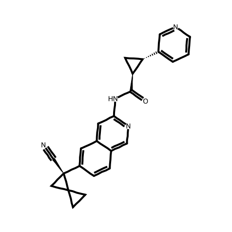 N#C[C@]1(c2ccc3cnc(NC(=O)[C@H]4C[C@@H]4c4cccnc4)cc3c2)CC12CC2